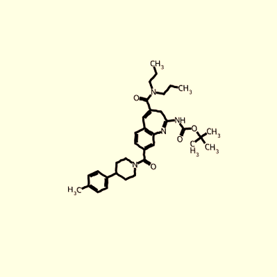 CCCN(CCC)C(=O)C1=Cc2ccc(C(=O)N3CCC(c4ccc(C)cc4)CC3)cc2N=C(NC(=O)OC(C)(C)C)C1